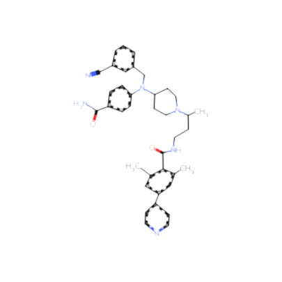 Cc1cc(-c2ccncc2)cc(C)c1C(=O)NCCC(C)N1CCC(N(Cc2cccc(C#N)c2)c2ccc(C(N)=O)cc2)CC1